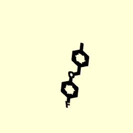 Cc1ccc(COc2ccc(F)cc2)cc1